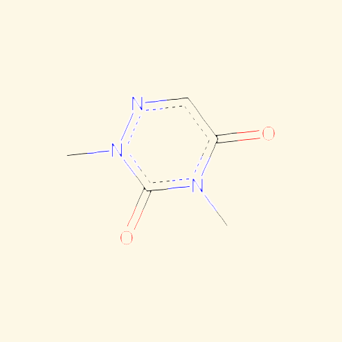 Cn1ncc(=O)n(C)c1=O